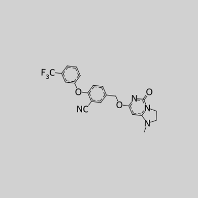 CN1CCn2c1cc(OCc1ccc(Oc3cccc(C(F)(F)F)c3)c(C#N)c1)nc2=O